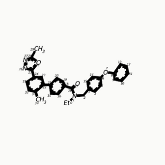 CCN(Cc1ccc(Oc2ccccc2)cc1)C(=O)c1ccc(-c2cc(-c3nnc(C)o3)ccc2C)cc1